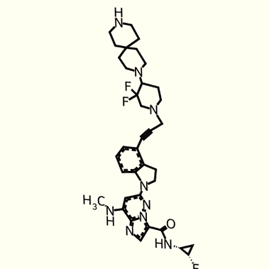 CNc1cc(N2CCc3c(C#CCN4CCC(N5CCC6(CCNCC6)CC5)C(F)(F)C4)cccc32)nn2c(C(=O)N[C@@H]3C[C@@H]3F)cnc12